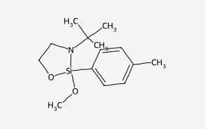 CO[Si]1(c2ccc(C)cc2)OCCN1C(C)(C)C